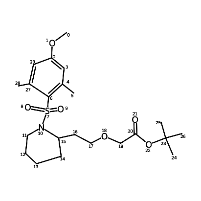 COc1cc(C)c(S(=O)(=O)N2CCCCC2CCOCC(=O)OC(C)(C)C)c(C)c1